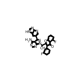 CC(c1oc2cccc(F)c2c(=O)c1-c1cccc(F)c1)n1nc(-c2cnc3nc[nH]c3c2)c2c(N)ncnc21